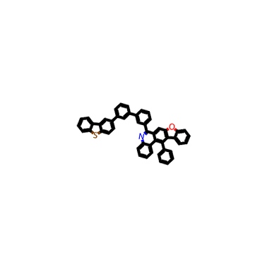 c1ccc(-c2c3c(cc4c(-c5cccc(-c6cccc(-c7ccc8sc9ccccc9c8c7)c6)c5)nc5ccccc5c24)oc2ccccc23)cc1